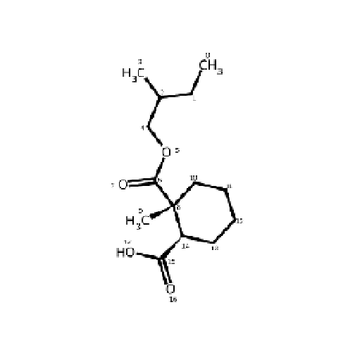 CCC(C)COC(=O)[C@]1(C)CCCC[C@H]1C(=O)O